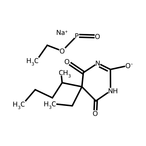 CCCC(C)C1(CC)C(=O)N=C([O-])NC1=O.CCOP=O.[Na+]